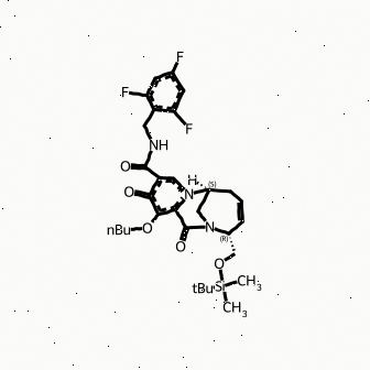 CCCCOc1c2n(cc(C(=O)NCc3c(F)cc(F)cc3F)c1=O)[C@H]1CC=C[C@H](CO[Si](C)(C)C(C)(C)C)N(C1)C2=O